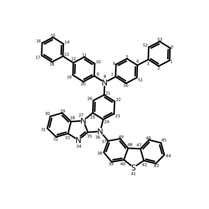 c1ccc(-c2ccc(N(c3ccc(-c4ccccc4)cc3)c3ccc4c(c3)n3c5ccccc5nc3n4-c3ccc4sc5ccccc5c4c3)cc2)cc1